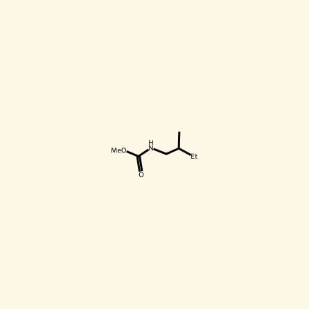 CCC(C)CNC(=O)OC